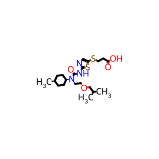 CC(C)COCCN(C(=O)Nc1ncc(SCCC(=O)O)s1)[C@H]1CC[C@H](C)CC1